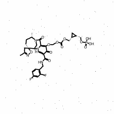 CC1=NO[C@@]2(CC[C@H](C)N3C[C@H]2n2cc(C(=O)NCc4ccc(F)cc4F)c(=O)c(OCOC(=O)OC[C@@H]4C[C@@H]4COP(=O)(O)O)c2C3=O)C1